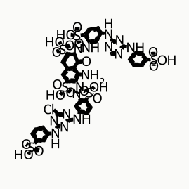 Nc1c(/N=N/c2cc(Nc3nc(Cl)nc(Nc4cccc(S(=O)(=O)O)c4)n3)ccc2S(=O)(=O)O)c(S(=O)(=O)O)cc2c1C(=O)/C(=N\Nc1cc(Nc3ncnc(Nc4cccc(S(=O)(=O)O)c4)n3)ccc1S(=O)(=O)O)C(S(=O)(=O)O)=C2